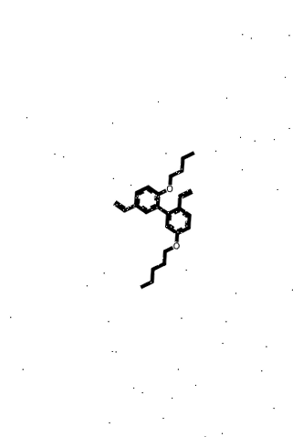 C=Cc1ccc(OCCCC)c(-c2cc(OCCCCC)ccc2C=C)c1